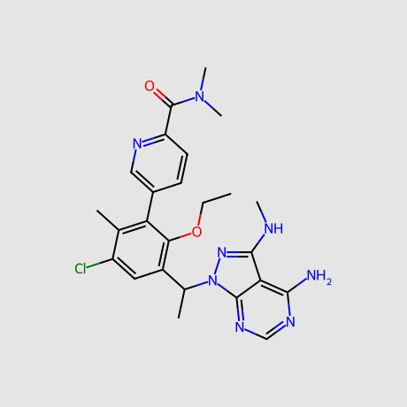 CCOc1c(C(C)n2nc(NC)c3c(N)ncnc32)cc(Cl)c(C)c1-c1ccc(C(=O)N(C)C)nc1